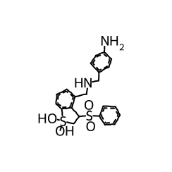 Nc1ccc(CNCc2cccc3c2C(S(=O)(=O)c2ccccc2)CS3(O)O)cc1